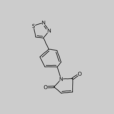 O=C1C=CC(=O)N1c1ccc(-c2csnn2)cc1